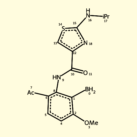 Bc1c(OC)ccc(C(C)=O)c1NC(=O)c1csc(NC(C)C)n1